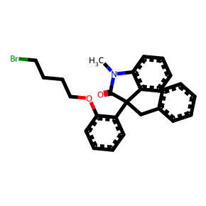 CN1C(=O)C(Cc2ccccc2)(c2ccccc2OCCCCBr)c2ccccc21